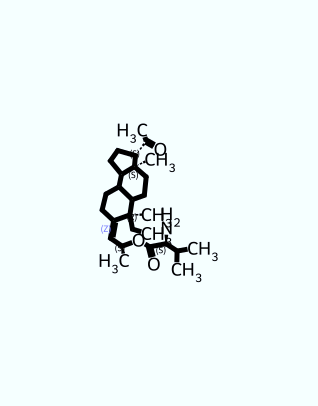 CC[C@@]1(C)/C(=C\[C@H](C)OC(=O)[C@@H](N)C(C)C)CCC2C1CC[C@@]1(C)C2CC[C@@H]1C(C)=O